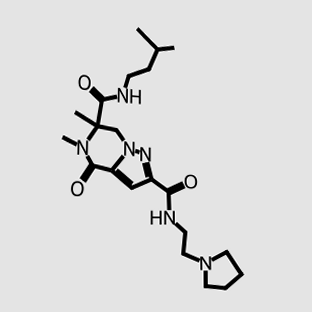 CC(C)CCNC(=O)C1(C)Cn2nc(C(=O)NCCN3CCCC3)cc2C(=O)N1C